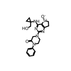 O=C1CN(c2nc3c(c(NC4(CO)CC4)n2)[S+]([O-])CC3)CCN1c1ccccc1